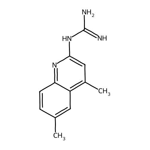 Cc1ccc2nc(NC(=N)N)cc(C)c2c1